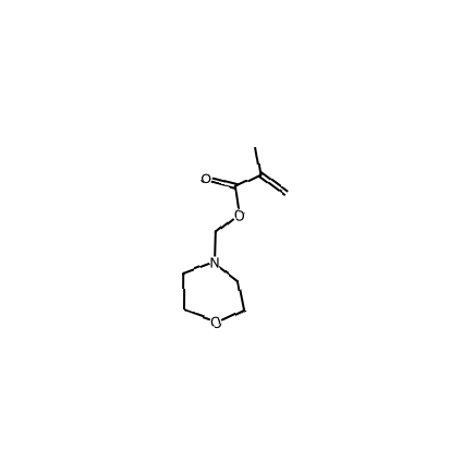 C=C(C)C(=O)OCN1CCOCC1